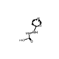 O=C(O)NNc1ccncn1